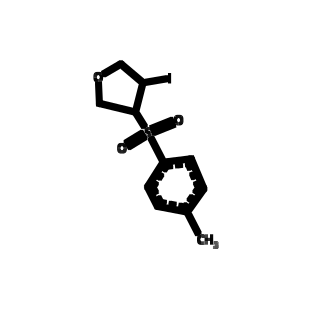 Cc1ccc(S(=O)(=O)C2COCC2I)cc1